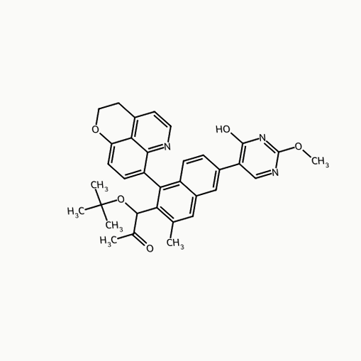 COc1ncc(-c2ccc3c(-c4ccc5c6c(ccnc46)CCO5)c(C(OC(C)(C)C)C(C)=O)c(C)cc3c2)c(O)n1